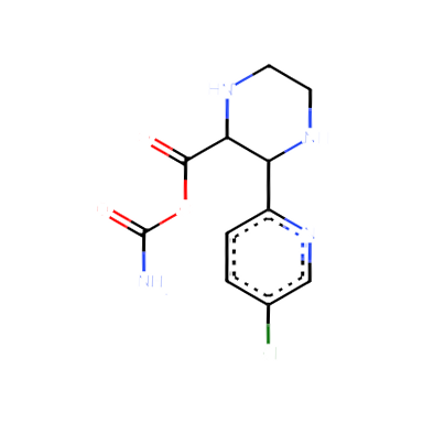 NC(=O)OC(=O)C1NCCNC1c1ccc(Cl)cn1